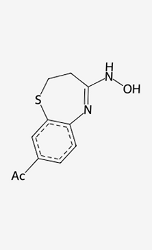 CC(=O)c1ccc2c(c1)SCCC(NO)=N2